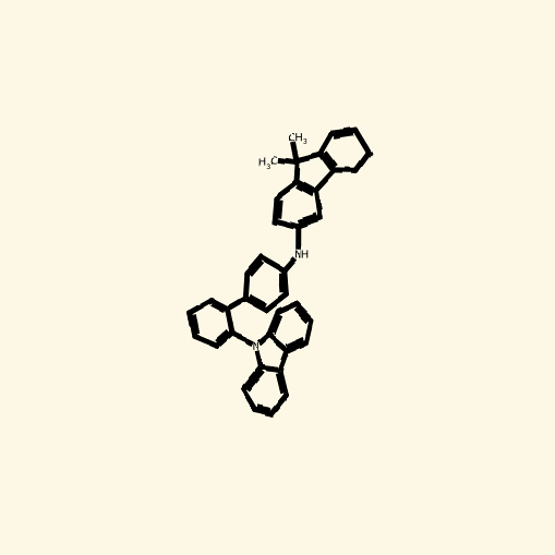 CC1(C)C2=C(CCC=C2)c2cc(Nc3ccc(-c4ccccc4-n4c5ccccc5c5ccccc54)cc3)ccc21